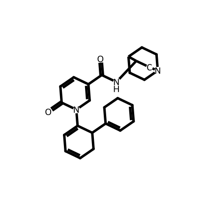 O=C(NC1CN2CCC1CC2)c1ccc(=O)n(C2=CC=CCC2C2=CC=CCC2)c1